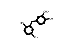 CC(C)(C)c1ccc(O)c(Cc2ccc(O)c(C=O)c2)c1